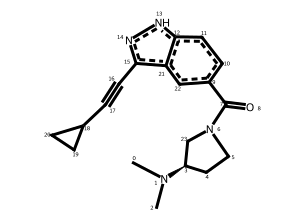 CN(C)[C@@H]1CCN(C(=O)c2ccc3[nH]nc(C#CC4CC4)c3c2)C1